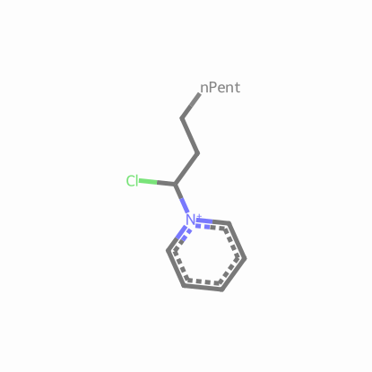 CCCCCCCC(Cl)[n+]1ccccc1